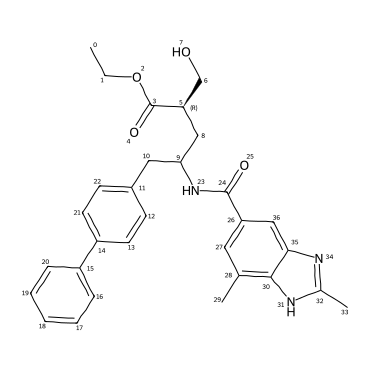 CCOC(=O)[C@@H](CO)CC(Cc1ccc(-c2ccccc2)cc1)NC(=O)c1cc(C)c2[nH]c(C)nc2c1